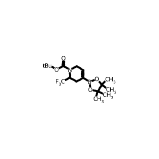 CC(C)(C)OC(=O)N1CC=C(B2OC(C)(C)C(C)(C)O2)CC1C(F)(F)F